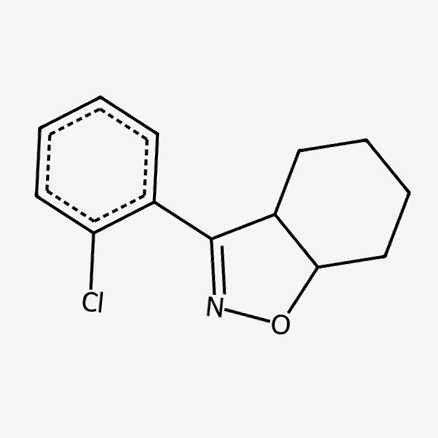 Clc1ccccc1C1=NOC2CCCCC12